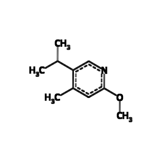 COc1cc(C)c(C(C)C)cn1